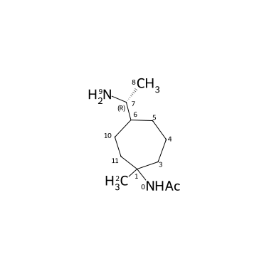 CC(=O)NC1(C)CCCC([C@@H](C)N)CC1